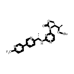 C[C@H](Nc1nccc(N2C(=O)OC[C@@H]2[C@@H](C)OC(C)(C)C)n1)c1ccc(-c2ccc(C(F)(F)F)nc2)cn1